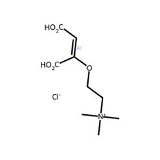 C[N+](C)(C)CCO/C(=C/C(=O)O)C(=O)O.[Cl-]